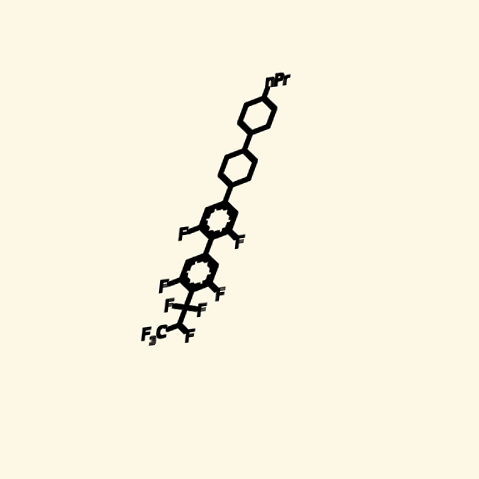 CCCC1CCC(C2CCC(c3cc(F)c(-c4cc(F)c(C(F)(F)C(F)C(F)(F)F)c(F)c4)c(F)c3)CC2)CC1